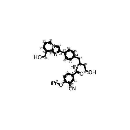 CC(C)Oc1ccc(C(=O)NC(CCO)Cc2ccc(-c3cn4cccc(CO)c4n3)cc2)cc1C#N